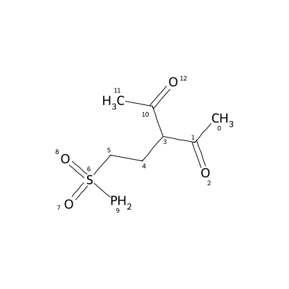 CC(=O)C(CCS(=O)(=O)P)C(C)=O